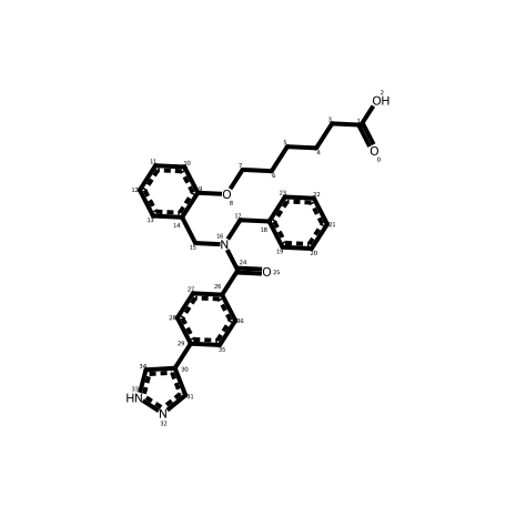 O=C(O)CCCCCOc1ccccc1CN(Cc1ccccc1)C(=O)c1ccc(-c2cn[nH]c2)cc1